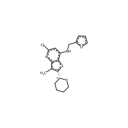 Cc1c([C@H]2CCCCO2)sc2c(NCc3ccco3)cc(Cl)nc12